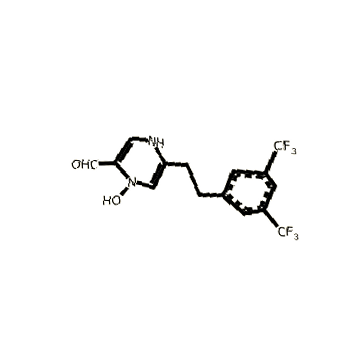 O=CC1=CNC(CCc2cc(C(F)(F)F)cc(C(F)(F)F)c2)=CN1O